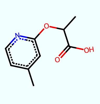 Cc1ccnc(OC(C)C(=O)O)c1